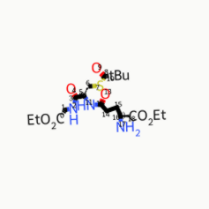 CCOC(=O)CNC(=O)[C@H](CSC(=O)C(C)(C)C)NC(=O)CC[C@H](N)C(=O)OCC